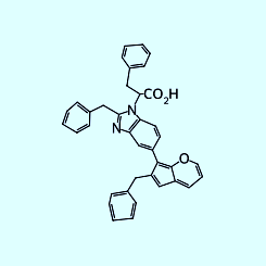 O=C(O)C(Cc1ccccc1)n1c(Cc2ccccc2)nc2cc(-c3c(Cc4ccccc4)cc4cccoc3-4)ccc21